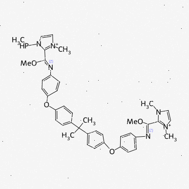 CO/C(=N\c1ccc(Oc2ccc(C(C)(C)c3ccc(Oc4ccc(/N=C(\OC)c5n(PC)cc[n+]5C)cc4)cc3)cc2)cc1)c1n(C)cc[n+]1C